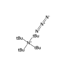 CC(C)(C)[N+](C(C)(C)C)(C(C)(C)C)C(C)(C)C.[N-]=[N+]=[N-]